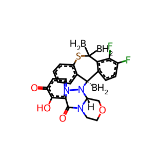 BC1(B)Sc2ccccc2[C@](B)(N2[C@@H]3COCCN3C(=O)c3c(O)c(=O)ccn32)c2ccc(F)c(F)c21